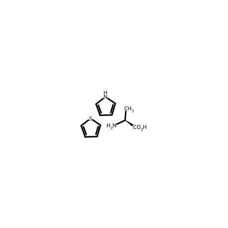 C[C@H](N)C(=O)O.c1cc[nH]c1.c1ccsc1